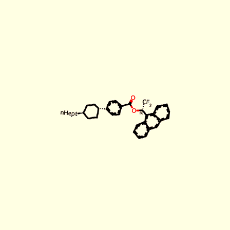 CCCCCCC[C@H]1CC[C@H](c2ccc(C(=O)O[C@@H](c3c4ccccc4cc4ccccc34)C(F)(F)F)cc2)CC1